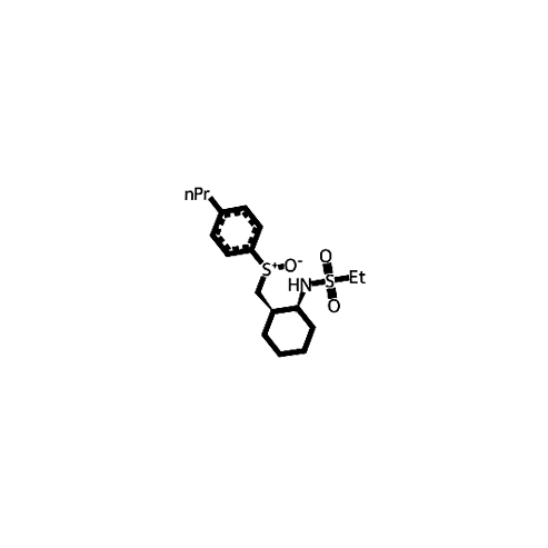 CCCc1ccc([S+]([O-])C[C@@H]2CCCC[C@@H]2NS(=O)(=O)CC)cc1